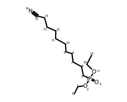 CCOP(=O)(CCCCCCCCCCC#N)OCC